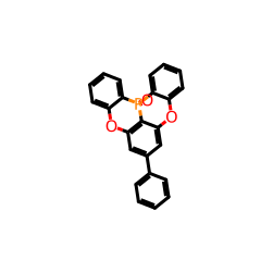 O=P12c3ccccc3Oc3cc(-c4ccccc4)cc(c31)Oc1ccccc12